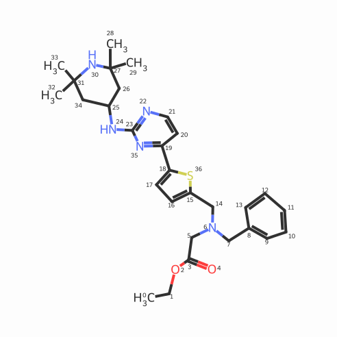 CCOC(=O)CN(Cc1ccccc1)Cc1ccc(-c2ccnc(NC3CC(C)(C)NC(C)(C)C3)n2)s1